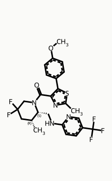 COc1ccc(-c2sc(C)nc2C(=O)N2CC(F)(F)C[C@@H](C)[C@H]2CNc2ccc(C(F)(F)F)cn2)cc1